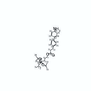 CC(C)O[Si](CCCOC(=O)CCc1ccc(C2=CCC(N)C=C2)cc1)(OC(C)C)OC(C)C